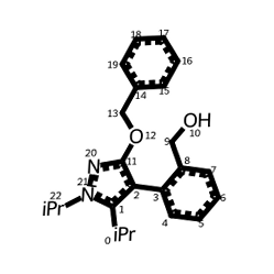 CC(C)c1c(-c2ccccc2CO)c(OCc2ccccc2)nn1C(C)C